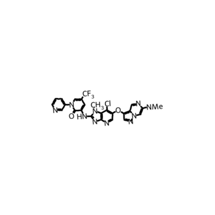 CNc1cn2ncc(Oc3cnc4nc(Nc5cc(C(F)(F)F)cn(-c6cccnc6)c5=O)n(C)c4c3Cl)c2cn1